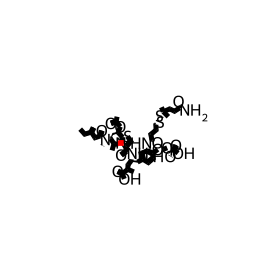 C=C(CC)CC(=O)N(C)[C@H](C[C@@H](OC(C)=O)c1nc(C(=O)N[C@@H](Cc2ccc(OCOP(=O)(O)O)c(NC(=O)CCCSSC(C)(C)CCC(N)=O)c2)CC(C)C(=O)O)cs1)C(C)C